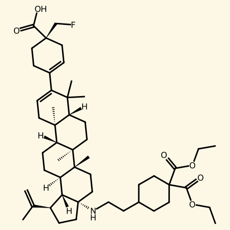 C=C(C)[C@@H]1CC[C@]2(NCCC3CCC(C(=O)OCC)(C(=O)OCC)CC3)CC[C@]3(C)[C@H](CC[C@@H]4[C@@]5(C)CC=C(C6=CC[C@@](CF)(C(=O)O)CC6)C(C)(C)[C@@H]5CC[C@]43C)[C@@H]12